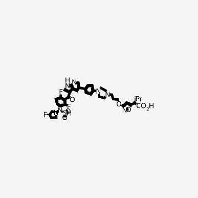 CC(C)C(C(=O)O)c1cc(OCCCN2CCN(c3ccc(-c4cnc5[nH]cc(C(=O)c6c(F)ccc(N(N7CC[C@@H](F)C7)[SH](=O)=O)c6F)c5c4)cc3)CC2)no1